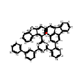 c1ccc(-c2cccc(-c3nc(-c4ccccc4-c4cc5c6c(cccc6c4)-c4ccccc4-5)nc(-c4cccc5oc6ccccc6c45)n3)c2)cc1